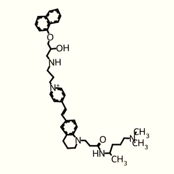 CC(CCCN(C)C)NC(=O)CCN1CCCc2cc(C=Cc3cc[n+](CCCNCC(O)COc4cccc5ccccc45)cc3)ccc21